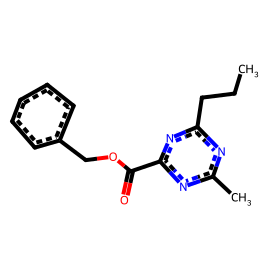 CCCc1nc(C)nc(C(=O)OCc2ccccc2)n1